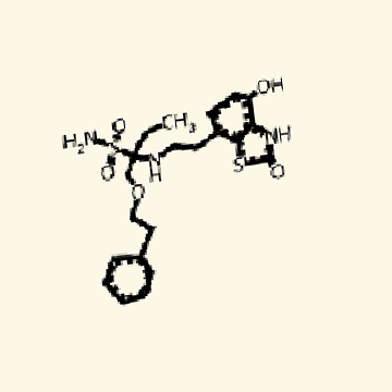 CCC(COCCc1ccccc1)(NCCc1ccc(O)c2[nH]c(=O)sc12)S(N)(=O)=O